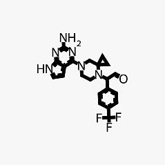 Nc1nc(N2CCN(C(C=O)c3ccc(C(F)(F)F)cc3)C3(CC3)C2)c2cc[nH]c2n1